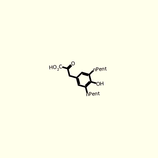 CCCCCc1cc(CC(=O)C(=O)O)cc(CCCCC)c1O